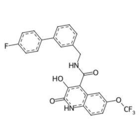 O=C(NCc1cccc(-c2ccc(F)cc2)c1)c1c(O)c(=O)[nH]c2ccc(OC(F)(F)F)cc12